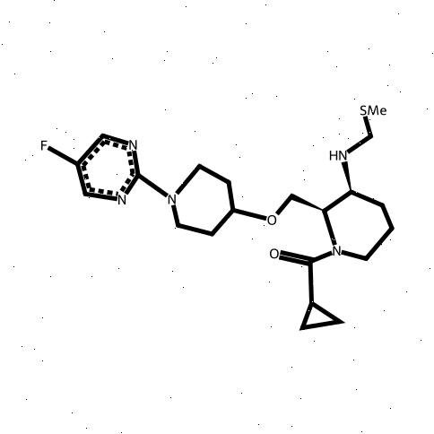 CSCN[C@H]1CCCN(C(=O)C2CC2)[C@H]1COC1CCN(c2ncc(F)cn2)CC1